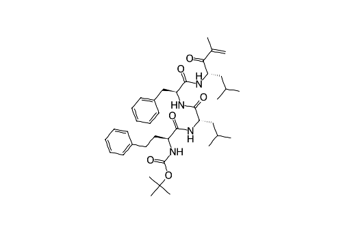 C=C(C)C(=O)[C@H](CC(C)C)NC(=O)[C@H](Cc1ccccc1)NC(=O)[C@H](CC(C)C)NC(=O)[C@H](CCc1ccccc1)NC(=O)OC(C)(C)C